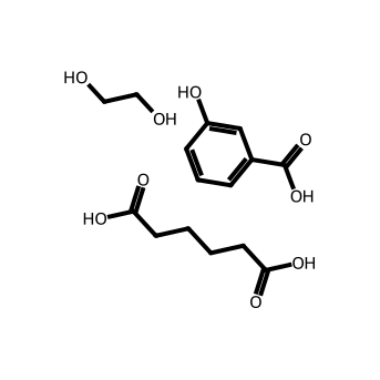 O=C(O)CCCCC(=O)O.O=C(O)c1cccc(O)c1.OCCO